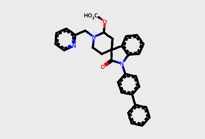 O=C(O)OC1CC2(CCN1Cc1ccccn1)C(=O)N(c1ccc(-c3ccccc3)cc1)c1ccccc12